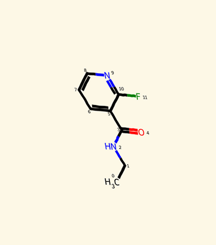 CCNC(=O)c1cccnc1F